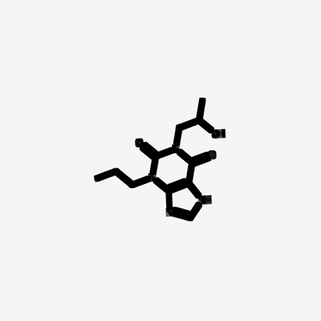 CCCn1c(=O)n(CC(C)O)c(=O)c2[nH]cnc21